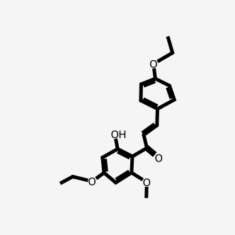 CCOc1ccc(C=CC(=O)c2c(O)cc(OCC)cc2OC)cc1